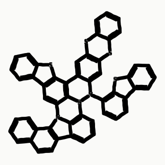 c1ccc2c(c1)Sc1cc3c(cc1S2)N(c1cccc2c1sc1ccccc12)B1c2c(cc4c(sc5ccccc54)c2-3)-n2c3c1cccc3c1ccc3ccccc3c12